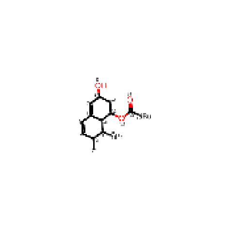 CCCC1C(C)C=CC2=CC(O)CC(OC(=O)C(C)CC)C21